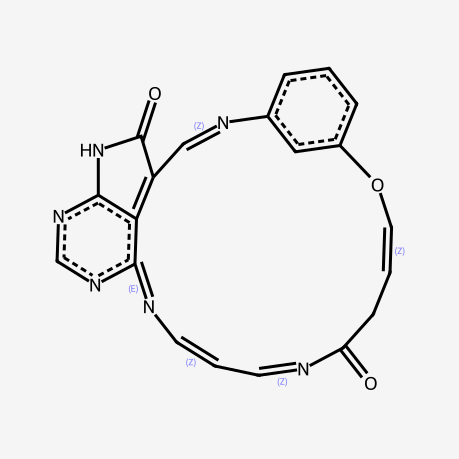 O=C1C/C=C\Oc2cccc(c2)/N=C\C2=c3c(ncn/c3=N/C=C\C=N/1)NC2=O